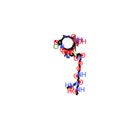 C=CC(=O)NCCN(CCNC(O)C=C)C(=O)CCC(=O)NCCOCCOCCN1C(=O)C[C@H](SC(C)(C)CC(=O)N(C)[C@@H](C)C(=O)O[C@H]2CC(=O)N(C)c3cc(cc(OC)c3Cl)C/C(C)=C/C=C/[C@@H](OC)[C@@]3(O)C[C@H](OC(O)N3)[C@@H](C)[C@@H]3O[C@@]23C)C1=O